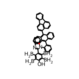 Bc1c(B)c(-c2nc3ccccc3n2-c2ccccc2-c2c3ccccc3c(-c3ccc4c5c(cccc35)-c3ccccc3-4)c3ccccc23)c(B)c(B)c1O